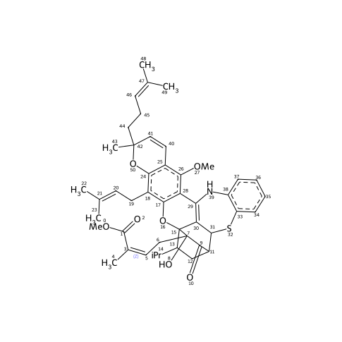 COC(=O)/C(C)=C\CC1(O)C(=O)C2CC(C(C)C)C13Oc1c(CC=C(C)C)c4c(c(OC)c1C1=C3C2Sc2ccccc2N1)C=CC(C)(CCC=C(C)C)O4